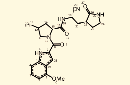 COc1cccc2[nH]c(C(=O)N3CC(C(C)C)C[C@H]3C(=O)N[C@H](C#N)C[C@@H]3CCNC3=O)cc12